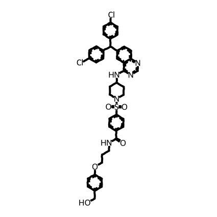 O=C(NCCCOc1ccc(CO)cc1)c1ccc(S(=O)(=O)N2CCC(Nc3ncnc4ccc(C(c5ccc(Cl)cc5)c5ccc(Cl)cc5)cc34)CC2)cc1